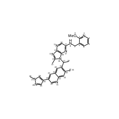 COc1ncccc1CNc1cnc2nc(C)n(C(C)c3cc4cc(-c5cnn(C)c5)cnc4cc3F)c2n1